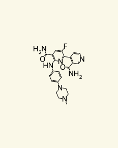 CN1CCN(c2ccc(Nc3nc(-c4ccncc4C(N)=O)c(F)cc3C(N)=O)cc2)CC1